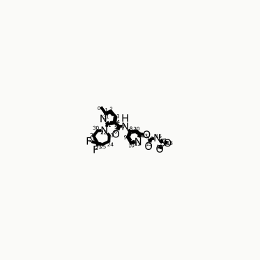 Cc1ccc(C(=O)Nc2ccnc(OC(=O)N=S(=O)=O)c2)c(N2CCCC(F)(F)CC2)n1